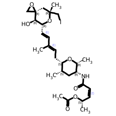 CC(=O)O[C@@H](C)/C=C\C(=O)N[C@@H]1C[C@H](C)[C@H](C/C=C(C)/C=C/[C@H]2O[C@@](C)(CI)C[C@@]3(CO3)[C@@H]2O)O[C@@H]1C